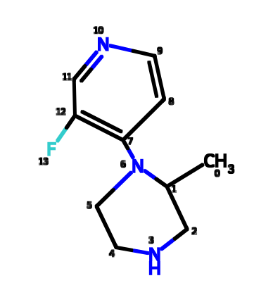 CC1CNCCN1c1ccncc1F